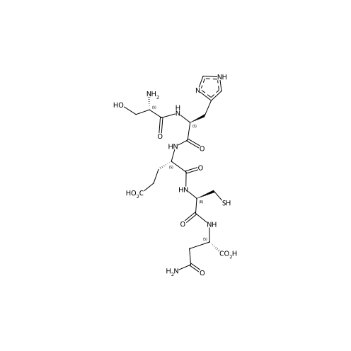 NC(=O)C[C@H](NC(=O)[C@H](CS)NC(=O)[C@H](CCC(=O)O)NC(=O)[C@H](Cc1c[nH]cn1)NC(=O)[C@@H](N)CO)C(=O)O